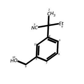 CCC(C)(C#N)c1cccc(CO)c1